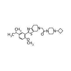 COc1ccc(C(C)C)cc1-c1nc2c(s1)CN(CC(=O)N1CCN(C3CCC3)CC1)CC2